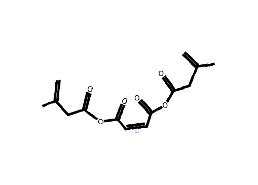 C=C(C)CC(=O)OC(=O)/C=C\C(=O)OC(=O)CC(=C)C